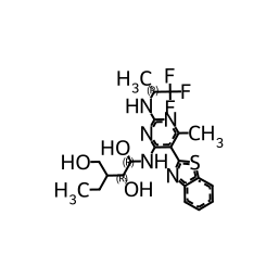 CCC(CO)[C@@H](O)[C@@H](O)Nc1nc(N[C@H](C)C(F)(F)F)nc(C)c1-c1nc2ccccc2s1